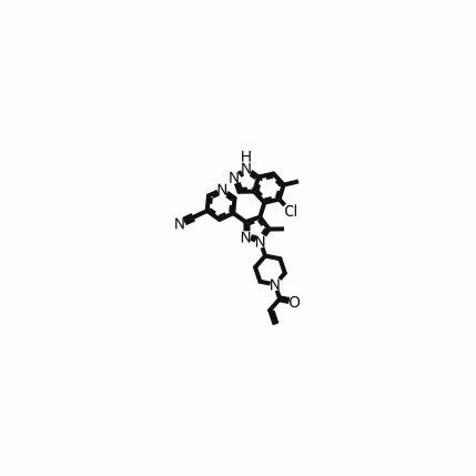 C=CC(=O)N1CCC(n2nc(-c3cncc(C#N)c3)c(-c3c(Cl)c(C)cc4[nH]ncc34)c2C)CC1